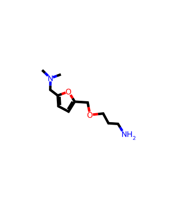 CN(C)Cc1ccc(COCCCN)o1